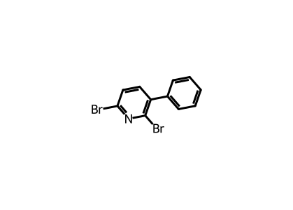 Brc1ccc(-c2ccccc2)c(Br)n1